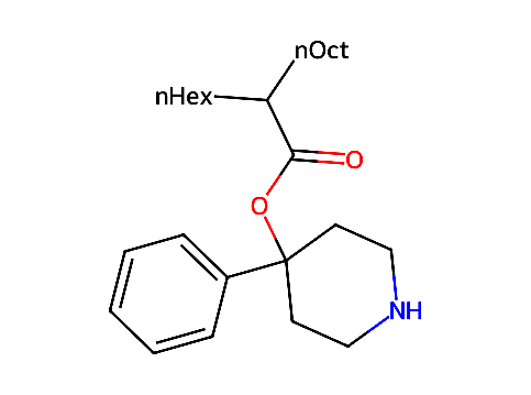 CCCCCCCCC(CCCCCC)C(=O)OC1(c2ccccc2)CCNCC1